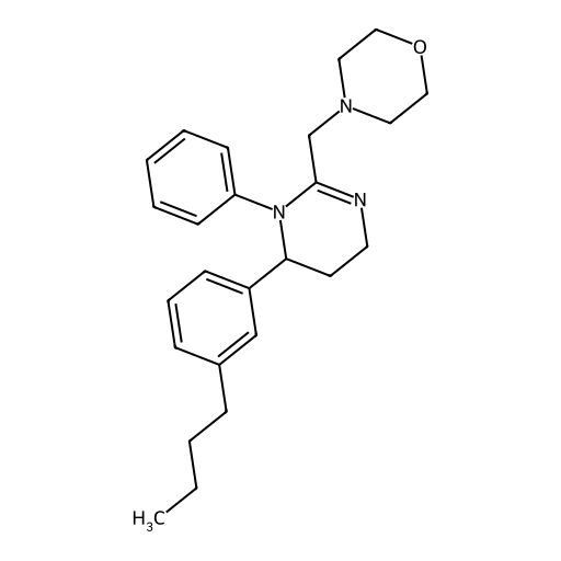 CCCCc1cccc(C2CCN=C(CN3CCOCC3)N2c2ccccc2)c1